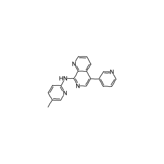 Cc1ccc(Nc2ncc(-c3cccnc3)c3cccnc23)nc1